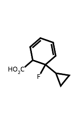 O=C(O)C1C=CC=CC1(F)C1CC1